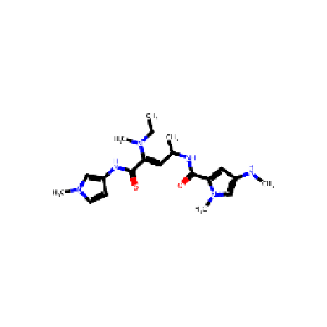 CCN(C)/C(=C\C(C)NC(=O)c1cc(NC)cn1C)C(=O)Nc1ccn(C)c1